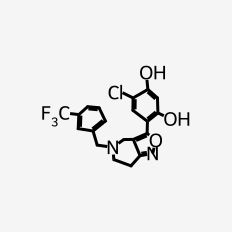 Oc1cc(O)c(-c2onc3c2CN(Cc2cccc(C(F)(F)F)c2)CC3)cc1Cl